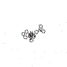 c1ccc(-c2nc(-c3ccc(-n4c5ccccc5c5ccccc54)cc3)nc(-c3cccc4oc5cccc(-c6nc7ccccc7s6)c5c34)n2)cc1